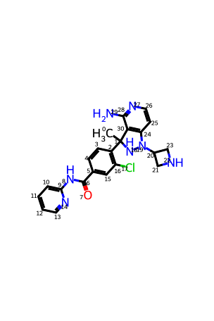 CC1(c2ccc(C(=O)Nc3ccccn3)cc2Cl)NN(C2CNC2)c2ccnc(N)c21